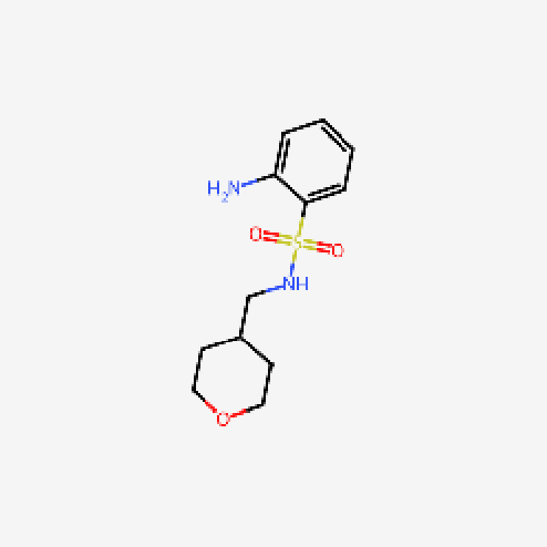 Nc1ccccc1S(=O)(=O)NCC1CCOCC1